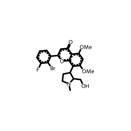 COc1cc(OC)c2c(=O)cc(-c3cccc(F)c3Br)oc2c1C1CCN(C)C1CO